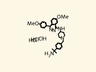 COc1ccc(-c2nnc(NC3CCN(Cc4ccc(C(C)(C)N)cc4)CC3)c3cc(OC)ccc23)cc1.Cl.Cl.Cl